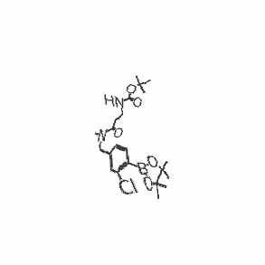 CN(Cc1ccc(B2OC(C)(C)C(C)(C)O2)c(Cl)c1)C(=O)CCNC(=O)OC(C)(C)C